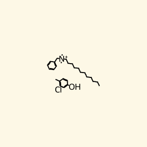 CCCCCCCCCCCC[N+](C)(C)Cc1ccccc1.Cc1ccc(O)cc1.[Cl-]